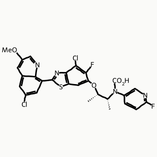 COc1cnc2c(-c3nc4c(Cl)c(F)c(O[C@@H](C)[C@@H](C)N(C(=O)O)c5ccc(F)nc5)cc4s3)cc(Cl)cc2c1